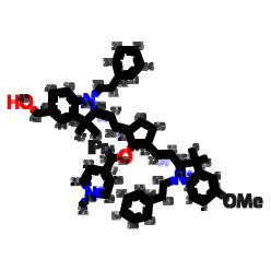 COc1ccc2c(c1)C(C)(C)C(/C=C/C1=C(OC(c3cc[n+](C)cc3)C(C)C)C(=C/C=C3/N(CCc4ccccc4)c4ccc(CO)cc4C3(C)C)/CC1)=[N+]2CCc1ccccc1